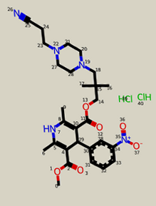 COC(=O)C1=C(C)NC(C)=C(C(=O)OCC(C)(C)CN2CCN(CCC#N)CC2)C1c1cccc([N+](=O)[O-])c1.Cl.Cl